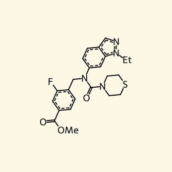 CCn1ncc2ccc(N(Cc3ccc(C(=O)OC)cc3F)C(=O)N3CCSCC3)cc21